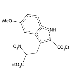 CCOC(=O)c1[nH]c2ccc(OC)cc2c1CC(C(=O)OCC)[N+](=O)[O-]